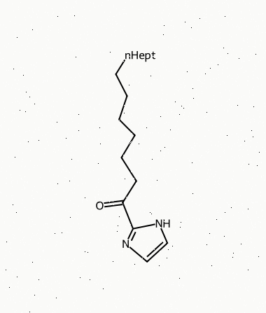 CCCCCCCCCCCCCC(=O)c1ncc[nH]1